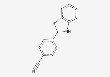 N#Cc1ccc(C2Nc3ccccc3S2)cc1